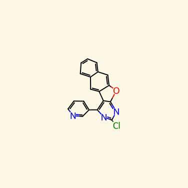 Clc1nc(-c2cccnc2)c2c(n1)oc1cc3ccccc3cc12